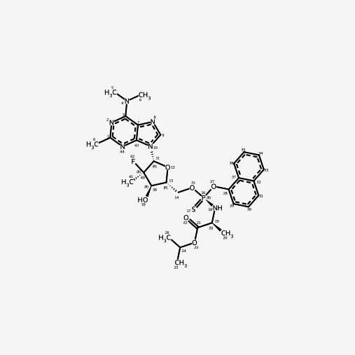 Cc1nc(N(C)C)c2ncn([C@@H]3O[C@H](CO[P@](=S)(N[C@@H](C)C(=O)OC(C)C)Oc4cccc5ccccc45)[C@@H](O)[C@@]3(C)F)c2n1